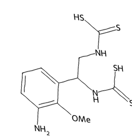 COc1c(N)cccc1C(CNC(=S)S)NC(=S)S